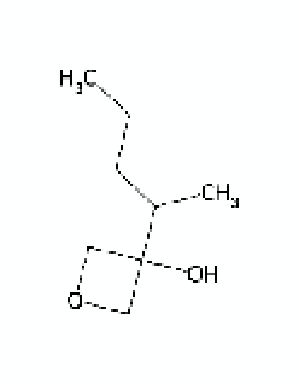 CCCC(C)C1(O)COC1